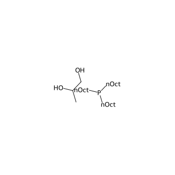 CC(O)CO.CCCCCCCCP(CCCCCCCC)CCCCCCCC